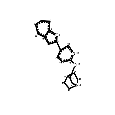 c1ccc2oc(-c3cnc(OC4CN5CCC4CC5)nc3)cc2c1